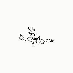 COc1ccc(CN2CCc3c(cc(Cn4ccnc4)cc3-n3nc(C)cc3C(F)(F)F)C2=O)c(OC)c1